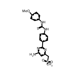 COc1ccc(NC(=S)Nc2ccc(-c3nc(N)cc(CS(C)(=O)=O)n3)cc2)cc1